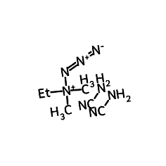 CC[N+](C)(C)N=[N+]=[N-].N#CN.N#CN